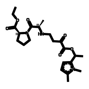 CCOC(=O)[C@@H]1CCCN1C(=O)[C@H](C)NCCC(=O)C(=O)OC(C)c1ccc(C)n1C